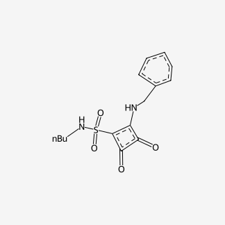 CCCCNS(=O)(=O)c1c(NCc2ccccc2)c(=O)c1=O